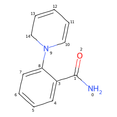 NC(=O)c1ccccc1N1C=CC=CC1